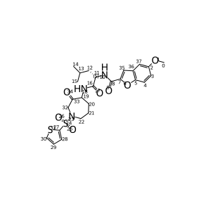 COc1ccc2oc(C(=O)N[C@@H](CC(C)C)C(=O)NC3CCCN(S(=O)(=O)c4cccs4)CC3=O)cc2c1